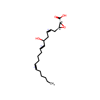 CCCCC/C=C\CCC/C=C/C(O)C/C=C\C[C@@H]1O[C@H]1C(=O)O